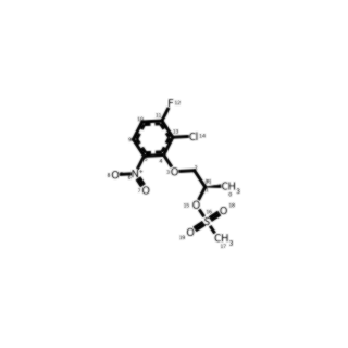 C[C@H](COc1c([N+](=O)[O-])ccc(F)c1Cl)OS(C)(=O)=O